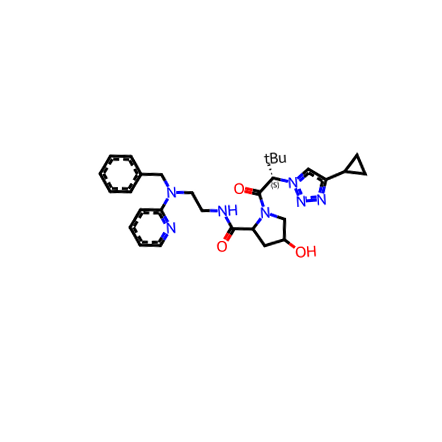 CC(C)(C)[C@@H](C(=O)N1CC(O)CC1C(=O)NCCN(Cc1ccccc1)c1ccccn1)n1cc(C2CC2)nn1